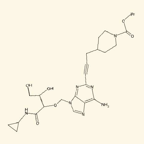 CC(C)OC(=O)N1CCC(CC#Cc2nc(N)c3ncn(COC(C(=O)NC4CC4)C(O)CO)c3n2)CC1